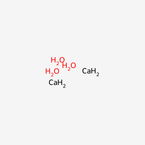 O.O.O.[CaH2].[CaH2]